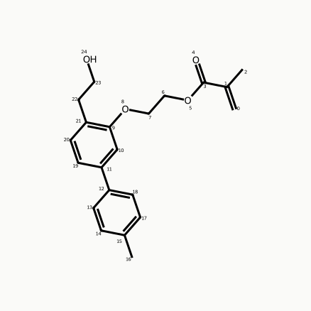 C=C(C)C(=O)OCCOc1cc(-c2ccc(C)cc2)ccc1CCO